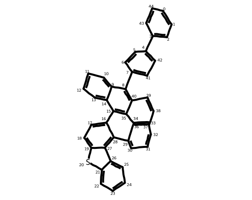 c1ccc(-c2ccc(-c3c4ccccc4c(-c4ccc5sc6ccccc6c5c4-c4ccccc4)c4ccccc34)cc2)cc1